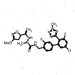 C=C(NN(C)C(=O)NCc1ccc(-c2cc(Cl)cc(F)c2-c2nnn(C)n2)cc1F)C1CC(OC)=NO1